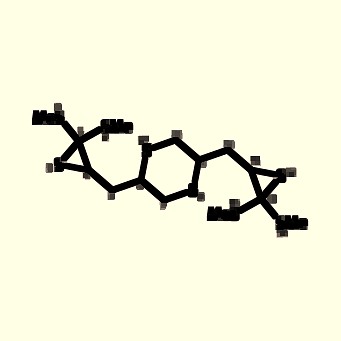 CSC1(SC)SC1CC1CSC(CC2SC2(SC)SC)CS1